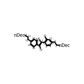 CCCCCCCCCCCCc1ccc(-c2sc3cc(CCCCCCCCCCCC)ccc3c2C)c(C)c1